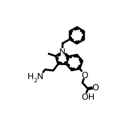 Cc1c(CCN)c2cc(OCC(=O)O)ccc2n1Cc1ccccc1